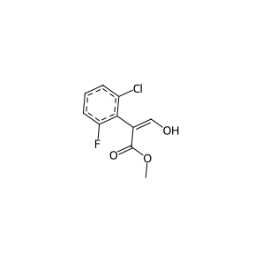 COC(=O)/C(=C\O)c1c(F)cccc1Cl